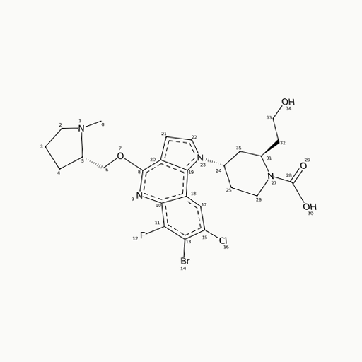 CN1CCC[C@H]1COc1nc2c(F)c(Br)c(Cl)cc2c2c1ccn2[C@H]1CCN(C(=O)O)[C@H](CCO)C1